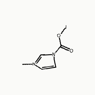 C[n+]1ccn(C(=O)OI)c1